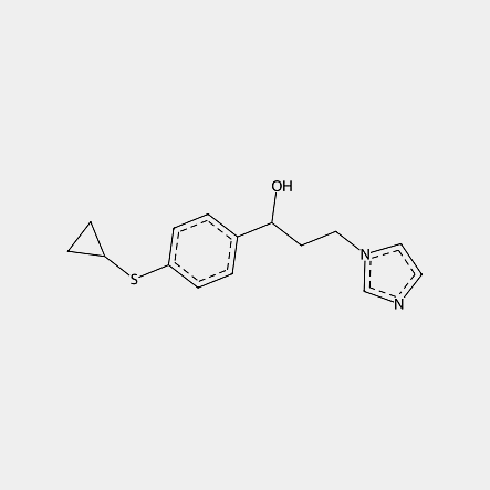 OC(CCn1ccnc1)c1ccc(SC2CC2)cc1